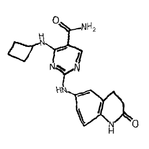 NC(=O)c1cnc(Nc2ccc3c(c2)CCC(=O)N3)nc1NC1CCC1